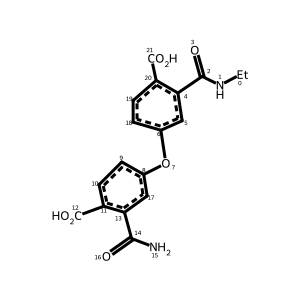 CCNC(=O)c1cc(Oc2ccc(C(=O)O)c(C(N)=O)c2)ccc1C(=O)O